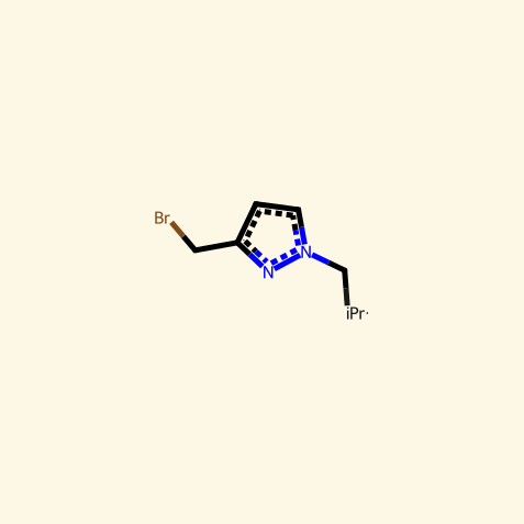 C[C](C)Cn1ccc(CBr)n1